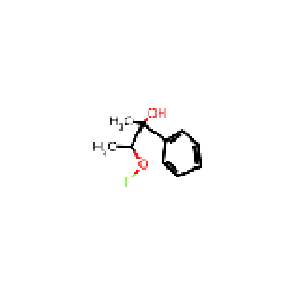 CC(OF)C(C)(O)c1ccccc1